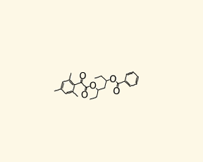 CCC(CC(CC)OC(=O)c1ccccc1)OC(=O)C(=O)c1c(C)cc(C)cc1C